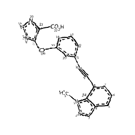 Cn1ncc2cccc(C#Cc3cccc(Oc4[nH]nnc4C(=O)O)c3)c21